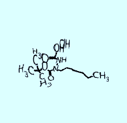 CCCCCCN(NC(=O)O)C(=O)OC(C)(C)C.Cl